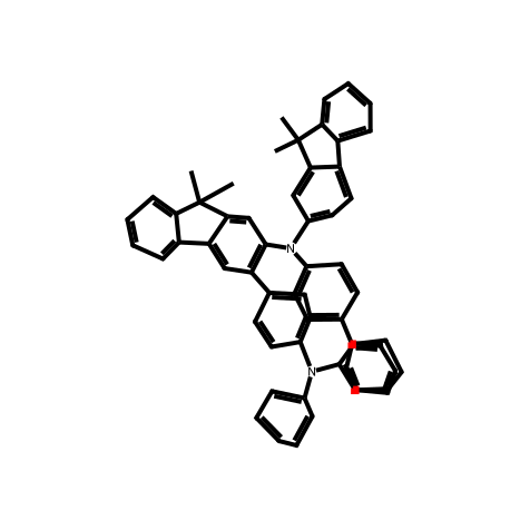 CC1(C)c2ccccc2-c2ccc(N(c3ccc(-c4ccccc4)cc3)c3cc4c(cc3-c3ccc(N(c5ccccc5)c5ccccc5)cc3)-c3ccccc3C4(C)C)cc21